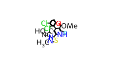 COC(=O)C1=C(CF)NC(C2SCN(C)N2C#N)=C(C(=O)O)C1c1cccc(Cl)c1Cl